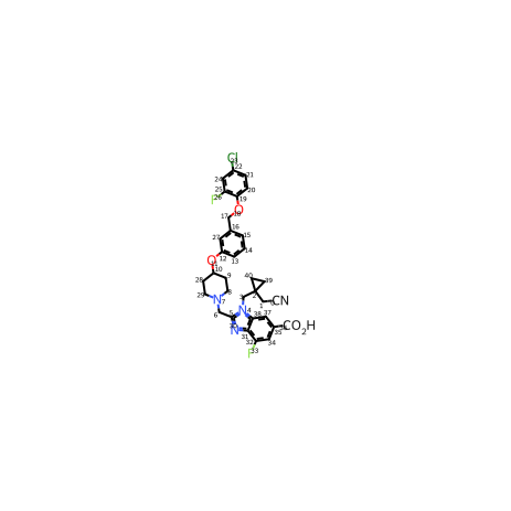 N#CCC1(Cn2c(CN3CCC(Oc4cccc(COc5ccc(Cl)cc5F)c4)CC3)nc3c(F)cc(C(=O)O)cc32)CC1